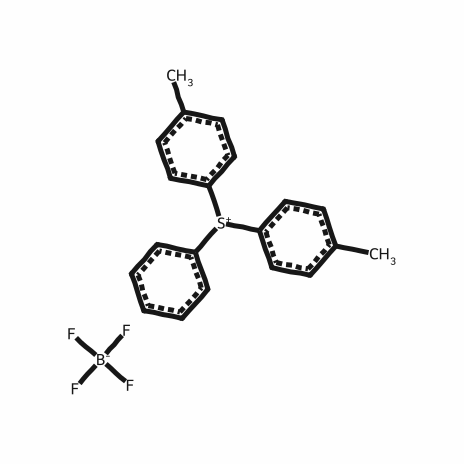 Cc1ccc([S+](c2ccccc2)c2ccc(C)cc2)cc1.F[B-](F)(F)F